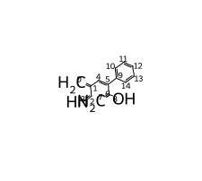 C=C(C=N)/C=C(\C(=C)O)c1ccccc1